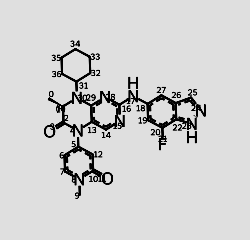 C[C@@H]1C(=O)N(c2ccn(C)c(=O)c2)c2cnc(Nc3cc(F)c4[nH]ncc4c3)nc2N1C1CCCCC1